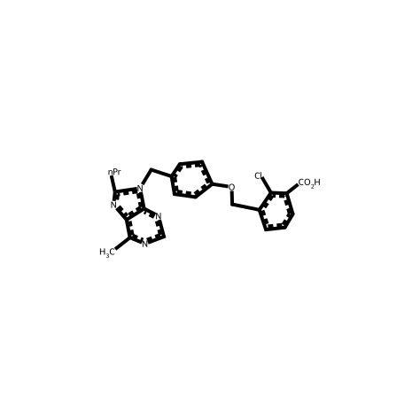 CCCc1nc2c(C)ncnc2n1Cc1ccc(OCc2cccc(C(=O)O)c2Cl)cc1